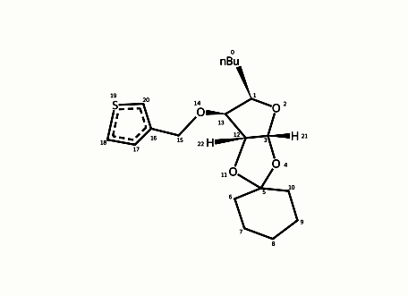 CCCC[C@H]1O[C@@H]2OC3(CCCCC3)O[C@@H]2[C@H]1OCc1ccsc1